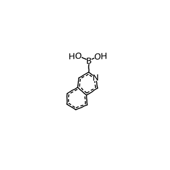 OB(O)c1cc2ccccc2cn1